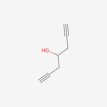 C#CCC(O)CC#C